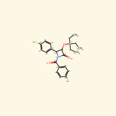 CC[Si](CC)(CC)OC1C(=O)N(C(=O)c2ccc(F)cc2)C1c1ccc(F)cc1